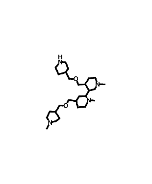 CN1CCC(COCC2CCN(C)C(C3CN(C)CCC3COCC3CCNCC3)C2)CC1